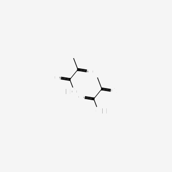 CC(=O)C(=O)O.CC(=O)C(=O)O